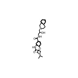 CC(C)N1CC2(C1)Oc1ccc(C(=O)NCC(O)CN3CCc4ccccc4C3)cc1NC2=O